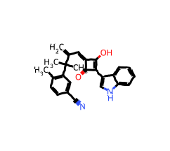 C=C(/C=C1\C(=O)C(c2c[nH]c3ccccc23)=C1O)C(C)(C)c1cc(C#N)ccc1C